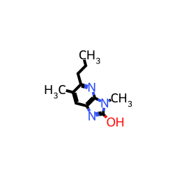 CCCc1nc2c(cc1C)nc(O)n2C